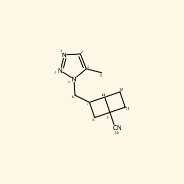 Cc1cnnn1CC1CC2(C#N)CCC12